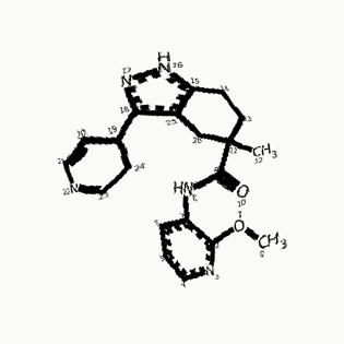 COc1ncccc1NC(=O)C1(C)CCc2[nH]nc(C3C=CN=CC3)c2C1